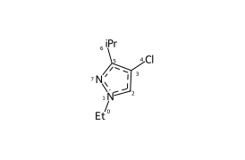 CCn1cc(Cl)c(C(C)C)n1